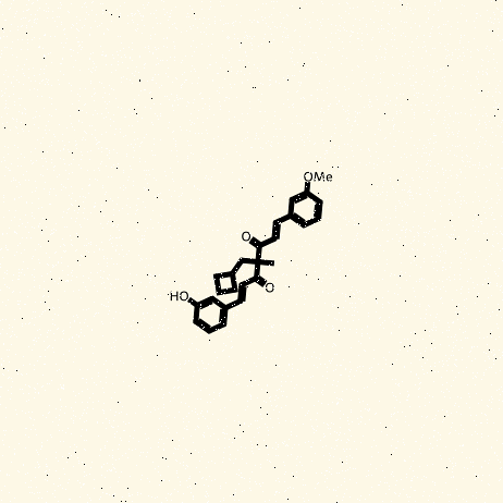 COc1cccc(/C=C/C(=O)C(C)(CC2CCC2)C(=O)/C=C/c2cccc(O)c2)c1